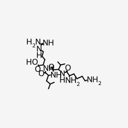 CC(C)CC(NC(=O)C(NC(=O)C(N)CCCCN)C(C)C)C(=O)NC(CCCNC(=N)N)C(=O)O